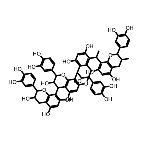 CC(c1c(O)cc(O)c2c1CC1(c3ccc(O)c(O)c3)Oc3cc(O)c4c(c3C2C1O)OC(c1ccc(O)c(O)c1)C(O)C4c1c(O)cc(O)c2c1OC(c1ccc(O)c(O)c1)C(O)C2)c1c(O)cc(O)c2c1OC(c1ccc(O)c(O)c1)C(C)C2